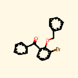 O=C(c1ccccc1)c1cccc(Br)c1OCc1ccccc1